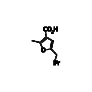 Cc1oc(CC(C)C)cc1C(=O)O